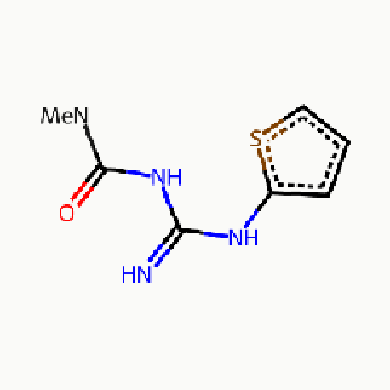 CNC(=O)NC(=N)Nc1cccs1